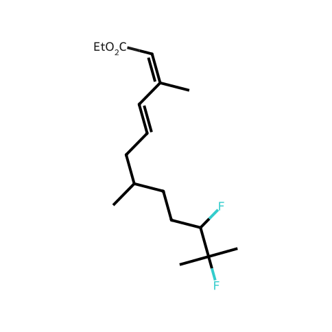 CCOC(=O)C=C(C)C=CCC(C)CCC(F)C(C)(C)F